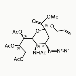 C=CCO[C@]1(C(=O)OC)C[C@@H](N=[N+]=[N-])[C@@H](NC(C)=O)C([C@H](OC(C)=O)[C@@H](COC(C)=O)OC(C)=O)O1